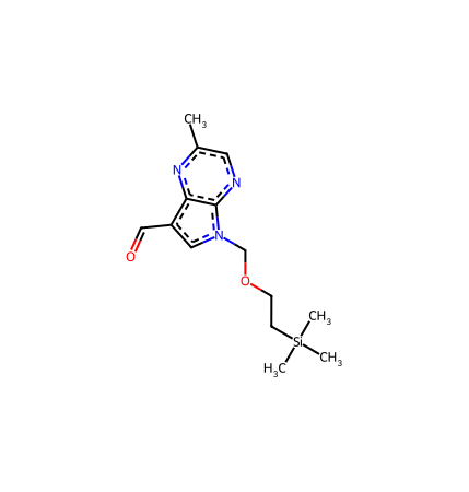 Cc1cnc2c(n1)c(C=O)cn2COCC[Si](C)(C)C